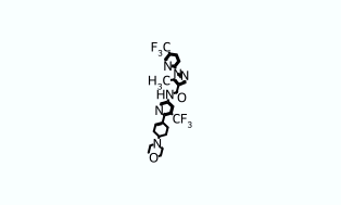 Cc1c(C(=O)Nc2cnc(C3=CCC(N4CCOCC4)CC3)c(C(F)(F)F)c2)cnn1-c1ccc(C(F)(F)F)cn1